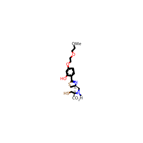 COCCOCCOc1ccc(C2=N[C@@H](CN(C)[C@H](CS)C(=O)O)CS2)c(O)c1